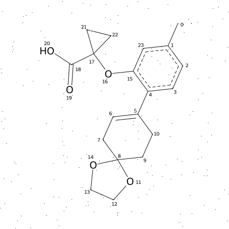 Cc1ccc(C2=CCC3(CC2)OCCO3)c(OC2(C(=O)O)CC2)c1